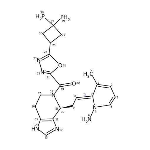 CC1=CC=CN(N)/C1=C\C[C@H]1c2nc[nH]c2CCN1C(=O)c1nnc(C2CC(P)(P)C2)o1